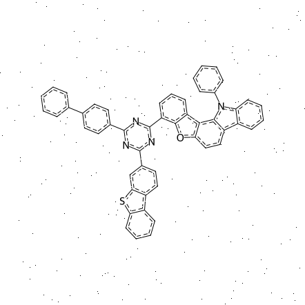 c1ccc(-c2ccc(-c3nc(-c4ccc5c(c4)sc4ccccc45)nc(-c4cccc5c4oc4ccc6c7ccccc7n(-c7ccccc7)c6c45)n3)cc2)cc1